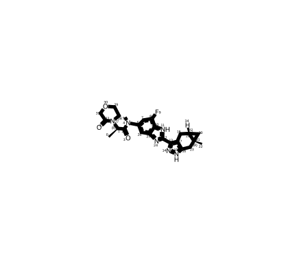 C[C@H](C(=O)N(C)c1cc(F)c2[nH]c(-c3n[nH]c4c3C[C@@H]3C[C@]3(C)C4)nc2c1)N1CCOCC1=O